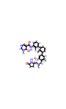 COc1cc(-c2cccc(-c3cccc(NC(=O)c4cncn(C)c4=O)c3C)c2C)cc(F)c1CN(C)CC1CCC(=O)N1